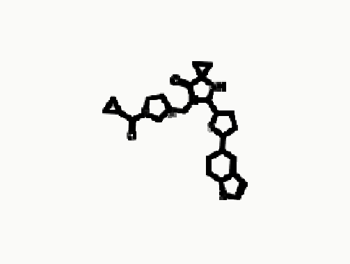 O=C(C1CC1)N1CC[C@@H](CN2C(=O)C3(CC3)NC2C2CCC(C3C=C4C=CSC4CC3)S2)C1